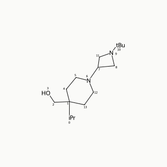 CC(C)C1(CO)CCN(C2CN(C(C)(C)C)C2)CC1